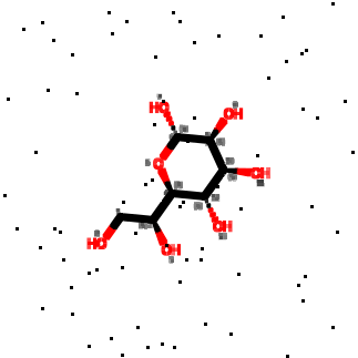 OC[C@H](O)[C@H]1O[C@H](O)[C@@H](O)[C@@H](O)[C@@H]1O